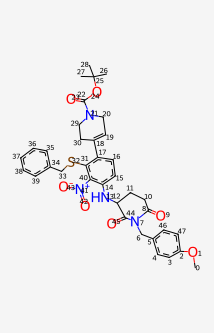 COc1ccc(CN2C(=O)CCC(Nc3ccc(C4=CCN(C(=O)OC(C)(C)C)CC4)c(SCc4ccccc4)c3[N+](=O)[O-])C2=O)cc1